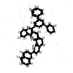 c1ccc(-c2cc(-c3ccccc3)cc(-c3nc4ccccc4c4nc5c(ccc6ccc(-c7ccc8ccccc8c7)nc65)cc34)c2)cc1